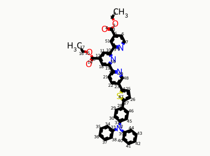 CCOC(=O)c1ccnc(-c2cc(C(=O)OCC)cc(-c3ccc(-c4ccc(-c5ccc(N(c6ccccc6)c6ccccc6)cc5)s4)cn3)n2)c1